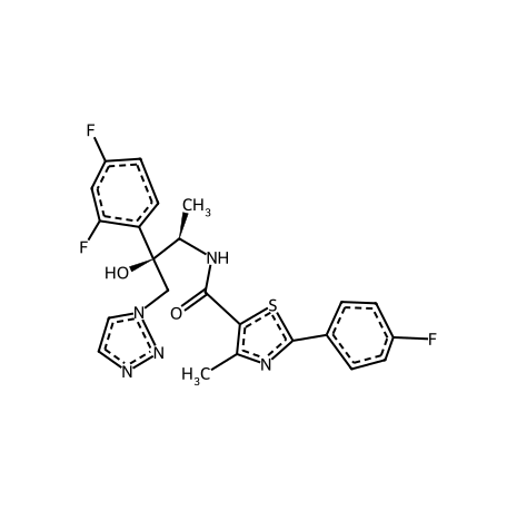 Cc1nc(-c2ccc(F)cc2)sc1C(=O)N[C@H](C)[C@](O)(Cn1ccnn1)c1ccc(F)cc1F